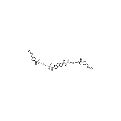 O=C=NCc1ccc(NC(=O)OCCOCCNC(=O)Nc2ccc3c(c2)Cc2cc(NC(=O)NCCOCCOC(=O)Nc4ccc(CN=C=O)cc4)ccc2-3)cc1